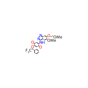 COCCOc1cc2ncnc(NC3=CC(=O)C(OC(c4ccccc4)C(F)(F)F)=CC3=O)c2cc1OC